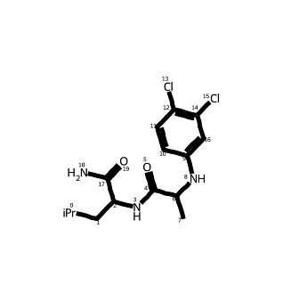 CC(C)CC(NC(=O)C(C)Nc1ccc(Cl)c(Cl)c1)C(N)=O